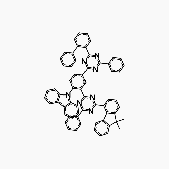 CC1(C)c2ccccc2-c2c(-c3nc(-c4ccccc4)nc(-c4cc(-c5nc(-c6ccccc6)nc(-c6ccccc6-c6ccccc6)n5)ccc4-n4c5ccccc5c5ccccc54)n3)cccc21